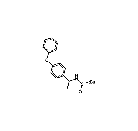 C[C@H](N[S@+]([O-])C(C)(C)C)c1ccc(Oc2ccccc2)cc1